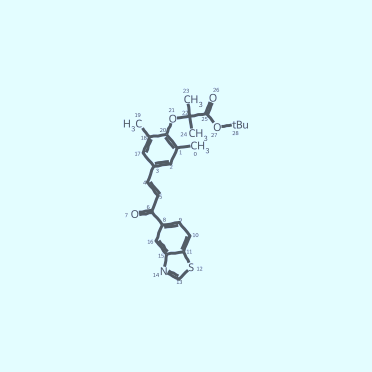 Cc1cc(/C=C/C(=O)c2ccc3scnc3c2)cc(C)c1OC(C)(C)C(=O)OC(C)(C)C